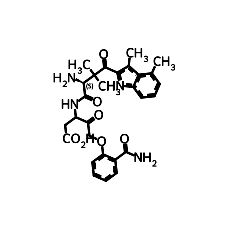 Cc1cccc2[nH]c(C(=O)C(C)(C)[C@H](N)C(=O)NC(CC(=O)O)C(=O)COc3ccccc3C(N)=O)c(C)c12